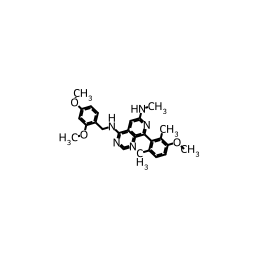 CNc1cc2c(NCc3ccc(OC)cc3OC)ncnc2c(-c2c(C)ccc(OC)c2C)n1